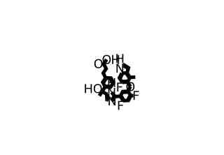 Cc1c(Oc2cc(-c3ncc(C(C)(O)c4cccc(CCC(=O)O)c4)[nH]3)c(F)cc2F)c(F)cc2[nH]ccc12